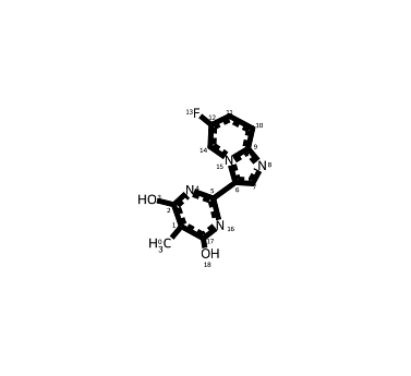 Cc1c(O)nc(-c2cnc3ccc(F)cn23)nc1O